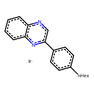 CCCCCCc1ccc(-c2cnc3ccccc3n2)cc1.[Ir]